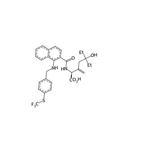 C=C(CC(O)(CC)CC)[C@H](NC(=O)c1ccc2ccccc2c1NCc1ccc(SC(F)(F)F)cc1)C(=O)O